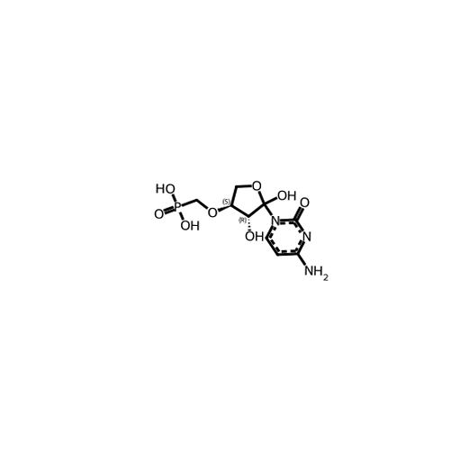 Nc1ccn(C2(O)OC[C@H](OCP(=O)(O)O)[C@H]2O)c(=O)n1